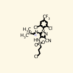 CN(C)/C=N/c1c(NS(=O)(=O)CCCCl)c(C#N)nn1-c1c(Cl)cc(C(F)(F)F)cc1Cl